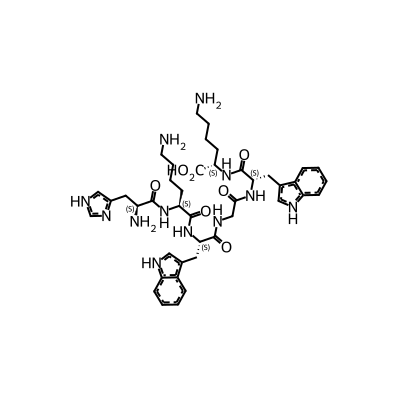 NCCCC[C@H](NC(=O)[C@H](Cc1c[nH]c2ccccc12)NC(=O)CNC(=O)[C@H](Cc1c[nH]c2ccccc12)NC(=O)[C@H](CCCCN)NC(=O)[C@@H](N)Cc1c[nH]cn1)C(=O)O